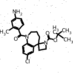 Cc1cc(N)ccc1C(=O)N1CCCC2(CCN2C(=O)OC(C)(C)C)c2cc(Cl)ccc21